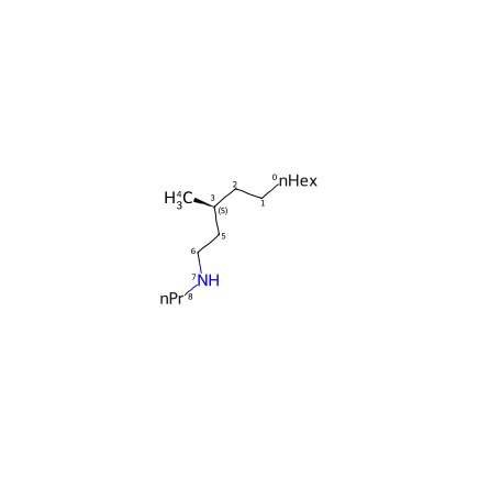 CCCCCCCC[C@H](C)CCNCCC